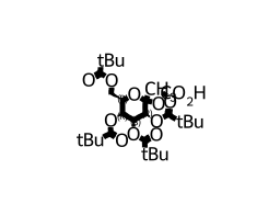 CC(C)(C)C(=O)OC[C@H]1OC(C)(OC(=O)O)[C@H](OC(=O)C(C)(C)C)[C@@H](OC(=O)C(C)(C)C)[C@@H]1OC(=O)C(C)(C)C